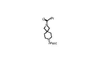 CCCCCN1CCC2(CC1)CN(C(=O)C(C)C)C2